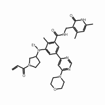 C=CC(=O)N1CCC(N(CC)c2cc(-c3cc(N4CCOCC4)ncn3)cc(C(=O)NCc3c(C)cc(C)[nH]c3=O)c2C)C1